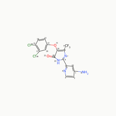 Nc1ccnc(-c2nc(C(F)(F)F)c(Oc3ccc(Cl)c(Cl)c3)c(=O)[nH]2)c1